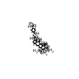 CC(C)C(=O)Nc1ccc(NCC(=O)Nc2ccc3c(c2O)C(=O)C2=C(O)C4(O)C(=O)C(C(N)=O)=C(O)[C@@H](N(C)C)C4CC2C3)cc1